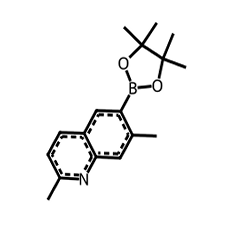 Cc1ccc2cc(B3OC(C)(C)C(C)(C)O3)c(C)cc2n1